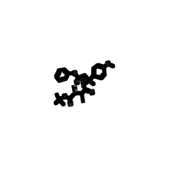 COc1ccc(C(C)(CC(=O)Oc2ccccc2)NC(=O)C(C)NC(=O)OC(C)(C)C)cc1